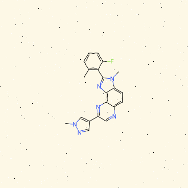 Cc1cccc(F)c1-c1nc2c3nc(-c4cnn(C)c4)cnc3ccc2n1C